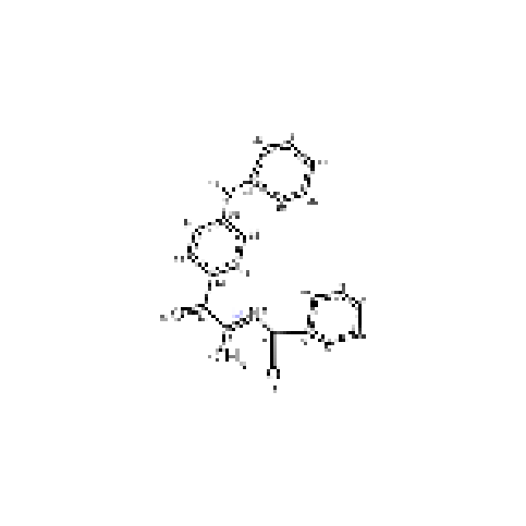 C/C(=N\C(=O)c1ccccc1)C(=O)c1ccc(Sc2ccccc2)cc1